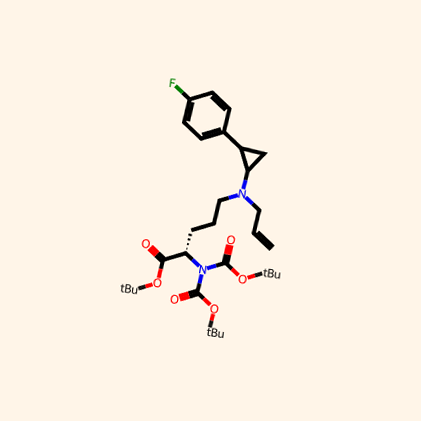 C=CCN(CCC[C@@H](C(=O)OC(C)(C)C)N(C(=O)OC(C)(C)C)C(=O)OC(C)(C)C)C1CC1c1ccc(F)cc1